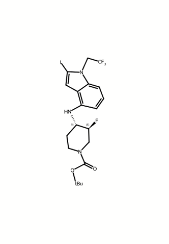 CC(C)(C)OC(=O)N1CC[C@H](Nc2cccc3c2cc(I)n3CC(F)(F)F)[C@@H](F)C1